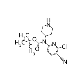 CC(C)(C)OC(=O)N(c1ccc(C#N)c(Cl)n1)C1CCNCC1